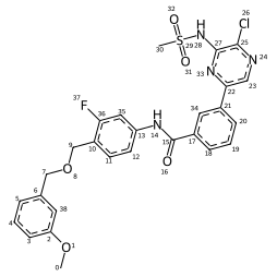 COc1cccc(COCc2ccc(NC(=O)c3cccc(-c4cnc(Cl)c(NS(C)(=O)=O)n4)c3)cc2F)c1